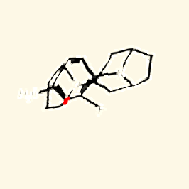 Cc1ccc(N2C3CCC2CC(N2CCCC2)C3)c(F)c1